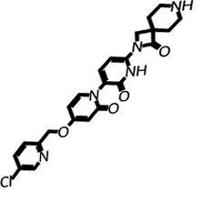 O=C1N(c2ccc(-n3ccc(OCc4ccc(Cl)cn4)cc3=O)c(=O)[nH]2)CC12CCNCC2